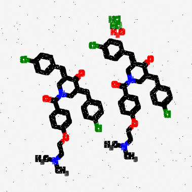 CN(C)CCOc1ccc(C(=O)N2CC(=Cc3ccc(Cl)cc3)C(=O)C(=Cc3ccc(Cl)cc3)C2)cc1.CN(C)CCOc1ccc(C(=O)N2CC(=Cc3ccc(Cl)cc3)C(=O)C(=Cc3ccc(Cl)cc3)C2)cc1.Cl.Cl.O